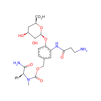 CC(C)[C@@H](C(N)=O)N(C)C(=O)OCc1ccc(O[C@@H]2O[C@H](C(=O)O)C[C@H](O)[C@H]2O)c(NC(=O)CCN)c1